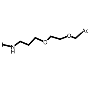 CC(=O)COCCOCCCNI